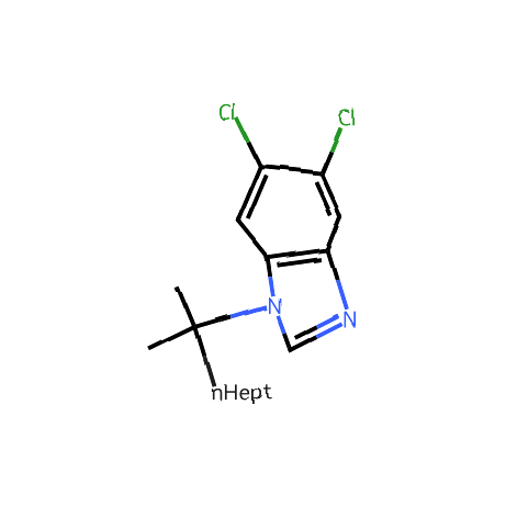 CCCCCCCC(C)(C)n1cnc2cc(Cl)c(Cl)cc21